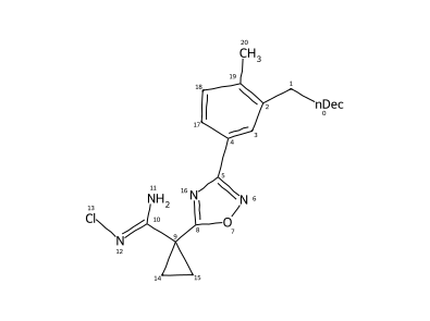 CCCCCCCCCCCc1cc(-c2noc(C3(/C(N)=N/Cl)CC3)n2)ccc1C